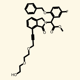 COC(=O)C(c1cc(F)ccc1OCc1ccccc1)N1Cc2cccc(C#CCOCCOCCO)c2C1=O